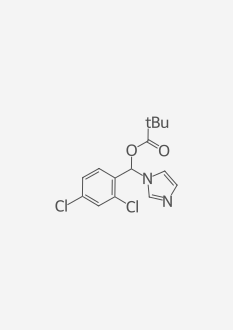 CC(C)(C)C(=O)OC(c1ccc(Cl)cc1Cl)n1ccnc1